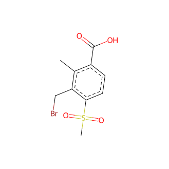 Cc1c(C(=O)O)ccc(S(C)(=O)=O)c1CBr